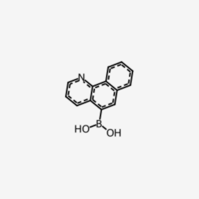 OB(O)c1cc2ccccc2c2ncccc12